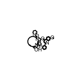 COc1ccc2c(O[C@@H]3C[C@H]4C(=O)NC5(C(=O)O)CC5C=CCCCCC[C@H](N5CCCCC5)C(=O)N4C3)cc(-c3ccccc3)nc2c1